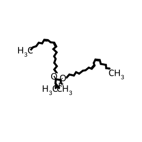 CCCCC/C=C\C/C=C\CCCCCCCCO[C@@H]1C[N+](C)(C)C[C@H]1OCCCCCCCC/C=C\C/C=C\CCCCC